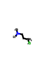 CCN(CC)CC[SiH2]Cl